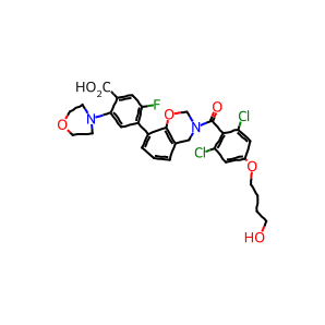 O=C(O)c1cc(F)c(-c2cccc3c2OCN(C(=O)c2c(Cl)cc(OCCCCO)cc2Cl)C3)cc1N1CCOCC1